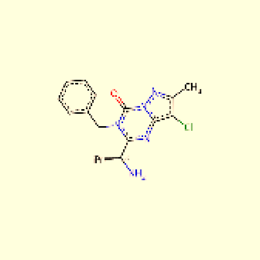 Cc1nn2c(=O)n(Cc3ccccc3)c([C@@H](N)C(C)C)nc2c1Cl